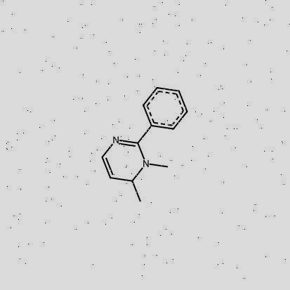 CC1C=CN=C(c2ccccc2)N1C